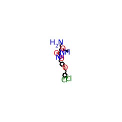 NCCCCC(NC(=O)C1CC1)C(=O)c1noc(Cc2ccc(OCCc3ccc(Cl)c(Cl)c3)cc2)n1